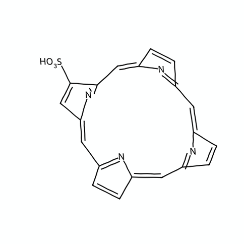 O=S(=O)(O)C1=CC2=CC3=NC(=CC4=NC(=CC5=NC(=CC1=N2)C=C5)C=C4)C=C3